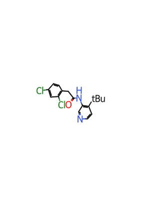 CC(C)(C)c1ccncc1NC(=O)Cc1ccc(Cl)cc1Cl